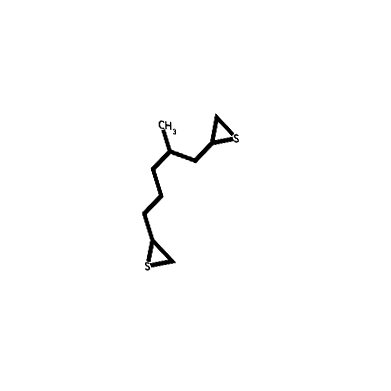 CC(CCCC1CS1)CC1CS1